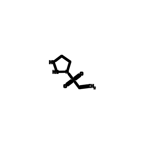 C=CS(=O)(=O)N1CCNN1